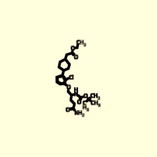 CCOC(=O)CC1CCC(c2cccc(OCC(CCC(N)=O)NC(=O)OC(C)(C)C)c2Cl)CC1